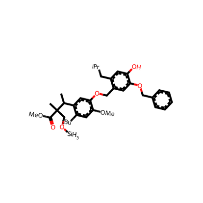 COC(=O)C(C)(CO[SiH3])C(C)c1cc(OCc2cc(OCc3ccccc3)c(O)cc2CC(C)C)c(OC)cc1C(C)(C)C